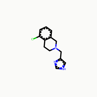 Clc1cccc2c1CCN(Cc1c[nH]cn1)C2